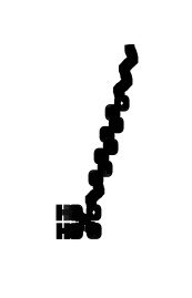 CCCCCOOOOOOOOCCOP(=O)(O)O